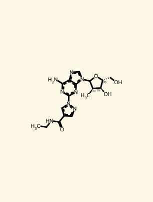 CCNC(=O)c1cnn(-c2nc(N)c3ncn(C4O[C@H](CO)[C@@H](O)[C@H]4C)c3n2)c1